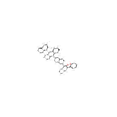 c1ccc2c(-c3c4ccccc4c(-c4ccc5cc(-c6c7ccccc7cc7c6oc6ccccc67)ccc5c4)c4ccccc34)cccc2c1